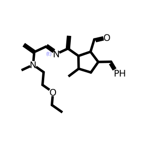 C=C(/N=C/C(=C)N(C)CCOCC)C1C(C)CC(C=P)C1C=O